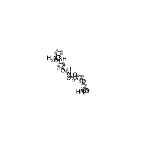 Nc1ccccc1NC(=O)c1ccc(OCCNC(=O)c2cc3cc(OCCC4CNCCO4)ccc3o2)cc1